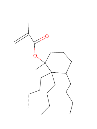 C=C(C)C(=O)OC1(C)CCCC(CCCC)C1(CCCC)CCCC